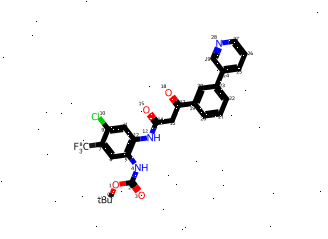 CC(C)(C)OC(=O)Nc1cc(C(F)(F)F)c(Cl)cc1NC(=O)CC(=O)c1cccc(-c2cccnc2)c1